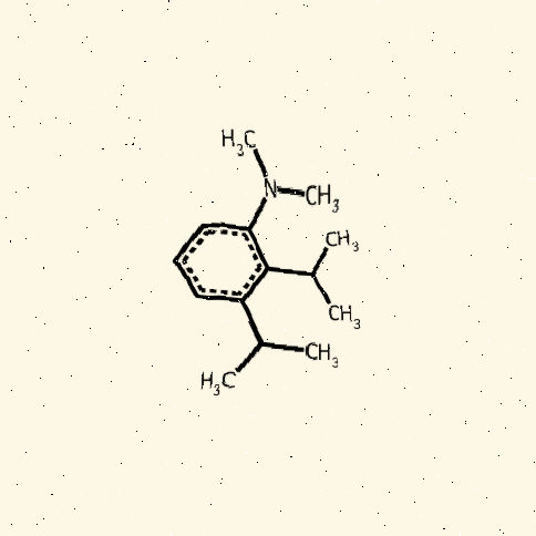 CC(C)c1cccc(N(C)C)c1C(C)C